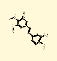 COc1ccc(C=Cc2cc(Cl)c(OC)c(OC)c2)cc1O